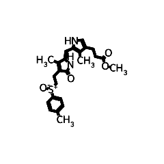 COC(=O)CCc1c[nH]c(/C=C2\NC(=O)C(CC[S+]([O-])c3ccc(C)cc3)=C2C)c1C